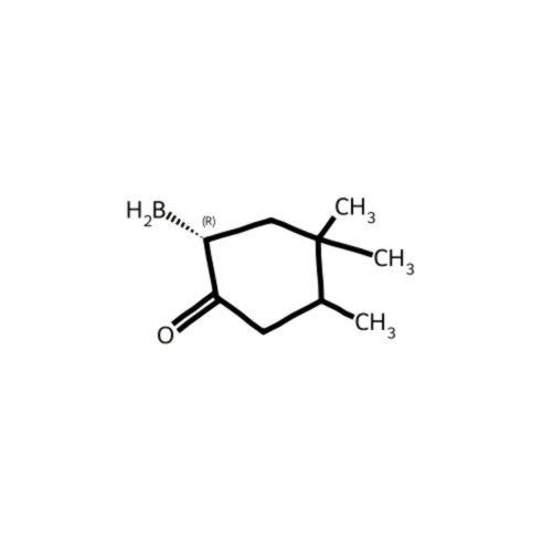 B[C@@H]1CC(C)(C)C(C)CC1=O